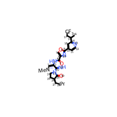 CN/C=C(/NC(=O)c1coc(-c2ccnc(C(C)CC(F)(F)F)c2)n1)C(=N)N1CCC(CC(C)C)C1=O